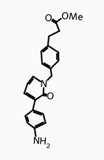 COC(=O)CCc1ccc(Cn2cccc(-c3ccc(N)cc3)c2=O)cc1